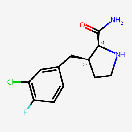 NC(=O)[C@H]1NCC[C@H]1[CH]c1ccc(F)c(Cl)c1